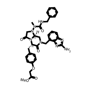 COC(=O)COc1ccc(C[C@H]2C(=O)N(Cc3cccc4sc(N)nc34)C[C@H]3N2C(=O)CN3N(C)C(=O)NCc2ccccc2)cc1